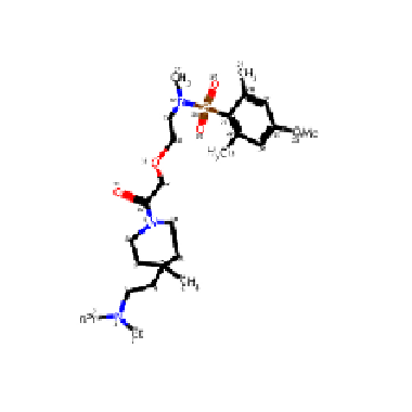 CCCN(CC)CCC1(C)CCN(C(=O)COCCN(C)S(=O)(=O)c2c(C)cc(OC)cc2C)CC1